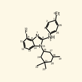 CCc1ccc(Nc2nc3c(F)cccc3n2C2CC(C)CC(C)(C)C2)cc1